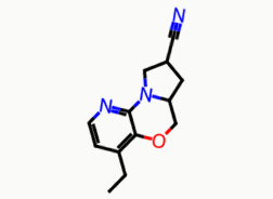 CCc1ccnc2c1OCC1CC(C#N)CN21